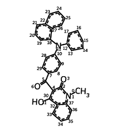 Cn1c(=O)c(C(=O)c2ccc(N(c3ccccc3)c3cccc4ccccc34)cc2)c(O)c2ccccc21